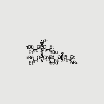 CCCCC(CC)COP(=S)([S-])OCC(CC)CCCC.CCCCC(CC)COP(=S)([S-])OCC(CC)CCCC.CCCCC(CC)COP(=S)([S-])OCC(CC)CCCC.[Al+3]